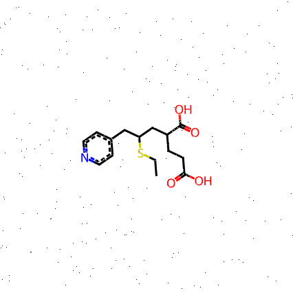 CCSC(Cc1ccncc1)CC(CCC(=O)O)C(=O)O